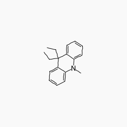 CCC1(CC)c2ccccc2N(C)c2ccccc21